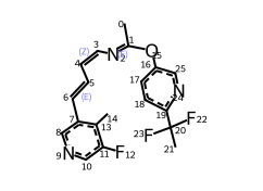 C\C(=N/C=C\C=C\c1cncc(F)c1C)Oc1ccc(C(C)(F)F)nc1